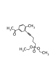 CCOP(=O)(CCCC#Cc1cc(C(C)=O)ccc1C)OCC